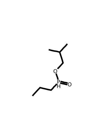 CCC[PH](=O)OCC(C)C